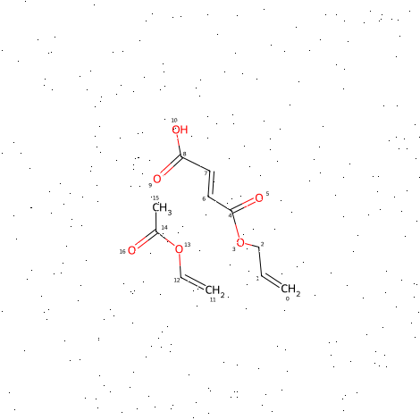 C=CCOC(=O)C=CC(=O)O.C=COC(C)=O